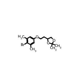 Cc1cc(OCCC2COC(C)(C)O2)cc(C)c1Br